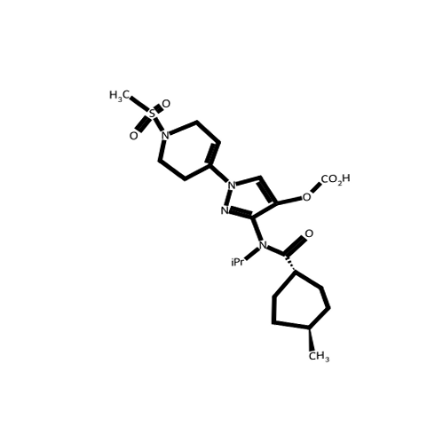 CC(C)N(c1nn(C2=CCN(S(C)(=O)=O)CC2)cc1OC(=O)O)C(=O)[C@H]1CC[C@H](C)CC1